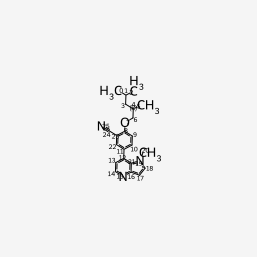 CC(C)C[C@@H](C)COc1ccc(-c2ccnc3ccn(C)c23)cc1C#N